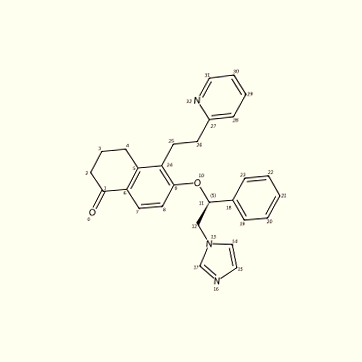 O=C1CCCc2c1ccc(O[C@H](Cn1ccnc1)c1ccccc1)c2CCc1ccccn1